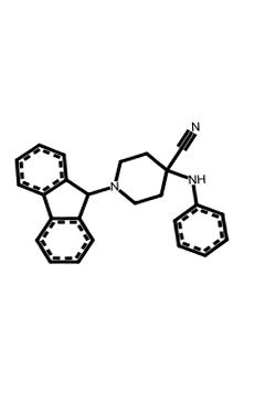 N#CC1(Nc2ccccc2)CCN(C2c3ccccc3-c3ccccc32)CC1